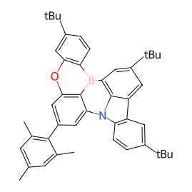 Cc1cc(C)c(-c2cc3c4c(c2)-n2c5ccc(C(C)(C)C)cc5c5cc(C(C)(C)C)cc(c52)B4c2ccc(C(C)(C)C)cc2O3)c(C)c1